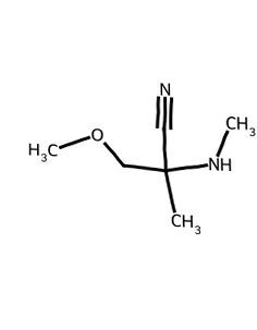 CNC(C)(C#N)COC